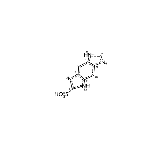 O=S(=O)(O)c1nc2cc3[nH]cnc3cc2[nH]1